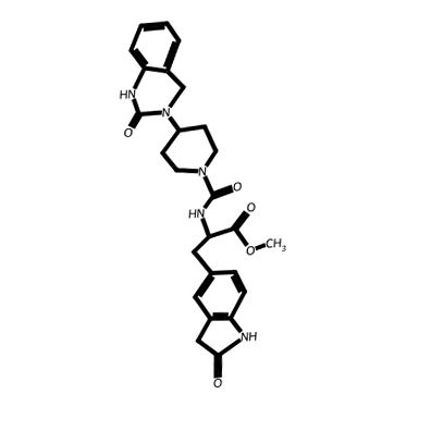 COC(=O)C(Cc1ccc2c(c1)CC(=O)N2)NC(=O)N1CCC(N2Cc3ccccc3NC2=O)CC1